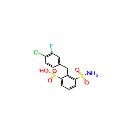 NS(=O)(=O)c1cccc(S(=O)(=O)O)c1Cc1ccc(Cl)c(F)c1